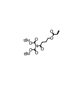 C=CC(=O)OCCCC(=O)N(C(=O)OC(C)(C)C)C(=O)OC(C)(C)C